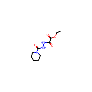 CCOC(=O)C(=O)NNC(=O)N1CCCCC1